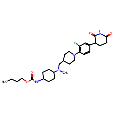 CCCCOC(=O)NC1CCC(N(C)CC2CCN(c3ccc(C4CCC(=O)NC4=O)cc3F)CC2)CC1